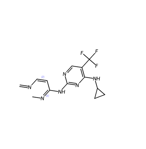 C=N/C=C\C(=N/C)Nc1ncc(C(F)(F)F)c(NC2CC2)n1